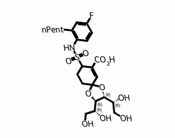 CCCCCc1cc(F)ccc1NS(=O)(=O)C1CCC2(C=C1C(=O)O)O[C@H]([C@H](O)CO)[C@@H]([C@H](O)CO)O2